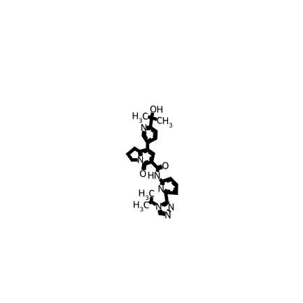 CC(C)n1cnnc1-c1cccc(NC(=O)c2cc(-c3ccc(C(C)(C)O)nc3)c3n(c2=O)CCC3)n1